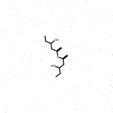 C=C(CC(O)CC)OC(=C)CC(O)CC